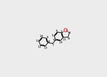 [CH]1COc2ccc(Cc3ccccc3)cc21